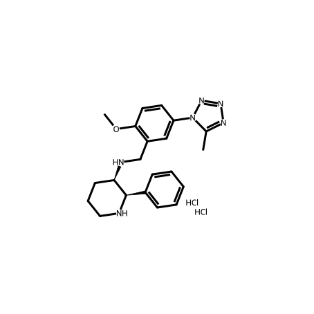 COc1ccc(-n2nnnc2C)cc1CN[C@@H]1CCCN[C@@H]1c1ccccc1.Cl.Cl